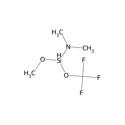 CO[SiH](OC(F)(F)F)N(C)C